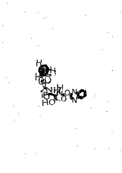 CC(C)C[C@H](NC(=O)[C@@H](NC(=O)Oc1cnc2ccccc2n1)[C@@H](C)O)B1O[C@@H]2C[C@@H]3C[C@@H](C3(C)C)[C@]2(C)O1